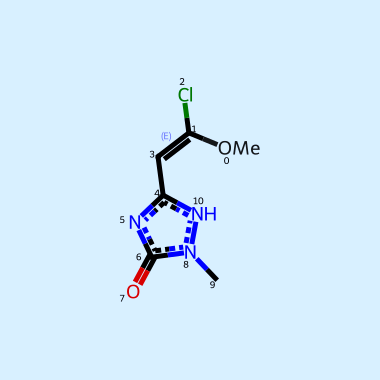 CO/C(Cl)=C\c1nc(=O)n(C)[nH]1